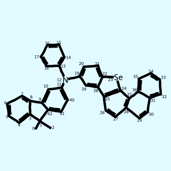 CC1(C)c2ccccc2-c2cc(N(c3ccccc3)c3ccc4[se]c5c(ccc6ccc7ccccc7c65)c4c3)ccc21